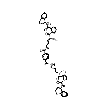 N[C@@H](CCCNC(=O)c1ccc(C(=O)NCCC[C@H](N)C(=O)N2CCC[C@H]2C(=O)N[C@@H]2CCCc3ccccc32)cc1)C(=O)N1CCCC1C(=O)N[C@@H]1CCCc2ccccc21